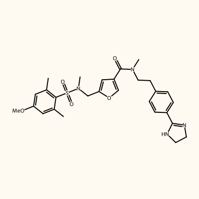 COc1cc(C)c(S(=O)(=O)N(C)Cc2cc(C(=O)N(C)CCc3ccc(C4=NCCN4)cc3)co2)c(C)c1